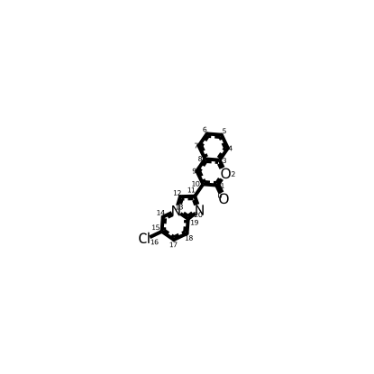 O=c1oc2ccccc2cc1-c1cn2cc(Cl)ccc2n1